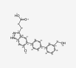 O=C(O)CCc1n[nH]c2cc(Cl)c(-c3ccc(-c4cccc(CO)c4)cc3)cc12